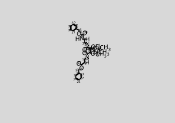 CC(C)(C)[Si](C)(C)O[C@H](C(=O)NCCC(=O)OCc1ccccc1)[C@@H](O)C(=O)NCCNC(=O)OCc1ccccc1